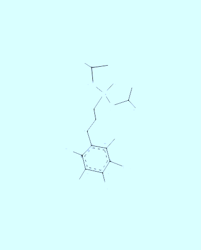 CC(C)O[Si](C)(CCCc1c(F)c(F)c(F)c(F)c1F)OC(C)C